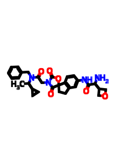 CC(C1CC1)N(Cc1ccccc1)C(=O)CN1C(=O)OC2(CCc3cc(NC(=O)C(N)C4COC4)ccc32)C1=O